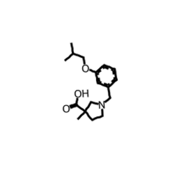 CC(C)COc1cccc(CN2CCC(C)(C(=O)O)C2)c1